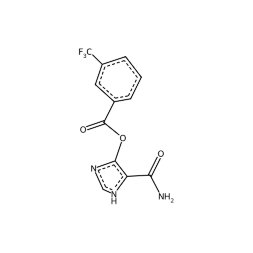 NC(=O)c1[nH]cnc1OC(=O)c1cccc(C(F)(F)F)c1